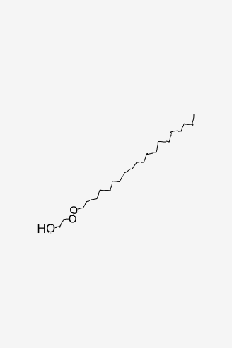 CCCCCCCCCCCCCCCCCCCCOOCCO